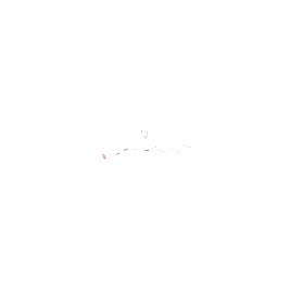 CCCCCCCCCCCCCOC(C)=O.N